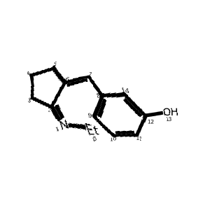 CC/N=C1/CCC/C1=C/c1cccc(O)c1